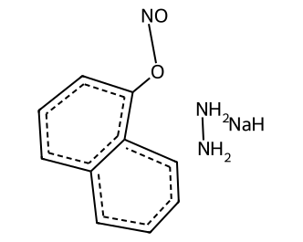 NN.O=NOc1cccc2ccccc12.[NaH]